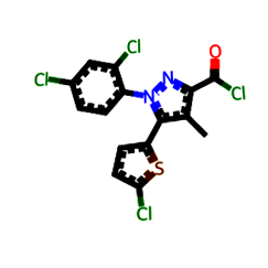 Cc1c(C(=O)Cl)nn(-c2ccc(Cl)cc2Cl)c1-c1ccc(Cl)s1